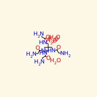 NCC(=O)NCC(CNC(=O)CN)(CNC(=O)CN)CNC(=O)CN.O.O.O.O